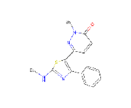 CCNc1nc(-c2ccccc2)c(-c2ccc(=O)n(C(C)C)n2)s1